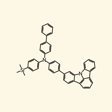 C[Si](C)(C)c1ccc(N(c2ccc(-c3ccccc3)cc2)c2ccc(-c3ccc4c5cccc6c7ccccc7n(c4c3)c65)cc2)cc1